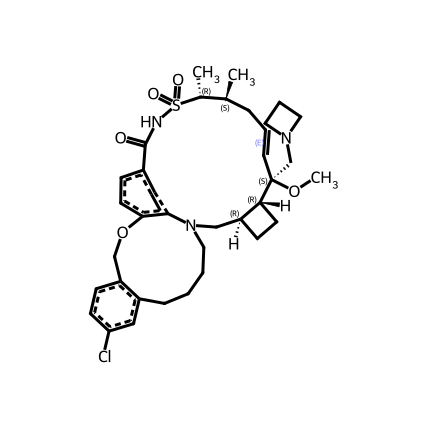 CO[C@]1(CN2CCC2)/C=C/C[C@H](C)[C@@H](C)S(=O)(=O)NC(=O)c2ccc3c(c2)N(CCCCc2cc(Cl)ccc2CO3)C[C@@H]2CC[C@H]21